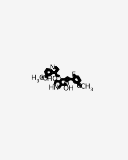 COc1ccc(F)c(C2CC([C@@H](C[C@@H](O)c3ccnc4ccc(OC)cc34)C3CCNCC3C(=O)O)C2)c1